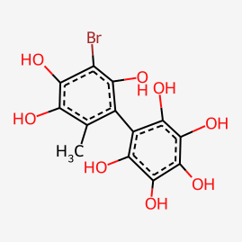 Cc1c(O)c(O)c(Br)c(O)c1-c1c(O)c(O)c(O)c(O)c1O